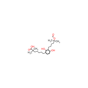 CC(C)(CCCCc1c(O)ccc(CCCCCC(C)(C)C(=O)O)c1O)OC=O